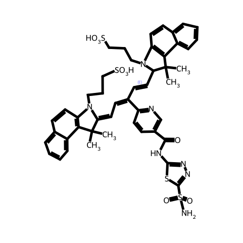 CC1(C)C(=CC=C(/C=C/C2N(CCCS(=O)(=O)O)c3ccc4ccccc4c3C2(C)C)c2ccc(C(=O)Nc3nnc(S(N)(=O)=O)s3)cn2)N(CCCS(=O)(=O)O)c2ccc3ccccc3c21